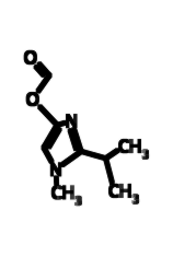 CC(C)c1nc(OC=O)cn1C